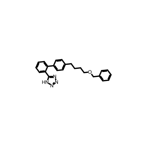 c1ccc(COCCCCc2ccc(-c3ccccc3-c3nnn[nH]3)cc2)cc1